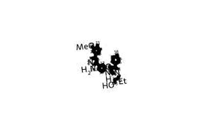 CCC(CCO)Cn1cc(Nc2ccc(-c3cc(-c4ccc(C)c(OC)c4)cnc3N)cc2)c(=O)c(-c2ccc(C)cc2)c1